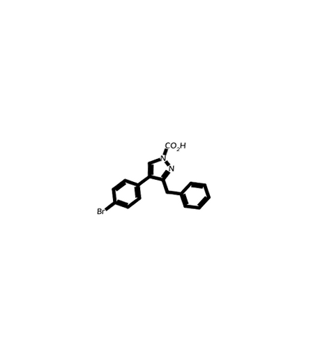 O=C(O)n1cc(-c2ccc(Br)cc2)c(Cc2ccccc2)n1